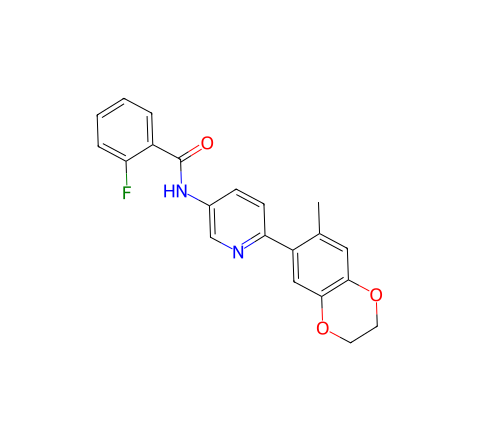 Cc1cc2c(cc1-c1ccc(NC(=O)c3ccccc3F)cn1)OCCO2